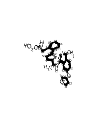 Cc1nnc(NC(C)c2ccc(-c3ccccc3CNC(=O)O)s2)c2cc(O[C@H]3CCOC3)ccc12